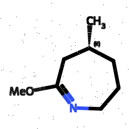 COC1=NCCC[C@@H](C)C1